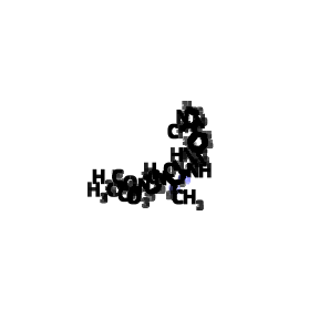 C=N/C(=C\C(=C/C)CN1CCN(C(=O)OC(C)(C)C)CC1)Nc1nc2ccc(-c3nccnc3Cl)cc2[nH]1